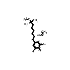 CC(C)OC(C)(C)CCCCCCc1cc(F)c(F)c(F)c1.CO[SiH3]